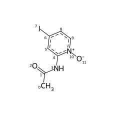 CC(=O)Nc1cc(I)cc[n+]1[O-]